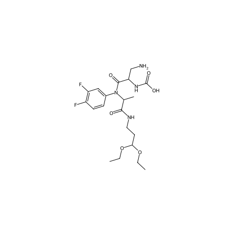 CCOC(CCNC(=O)C(C)N(C(=O)C(CN)NC(=O)O)c1ccc(F)c(F)c1)OCC